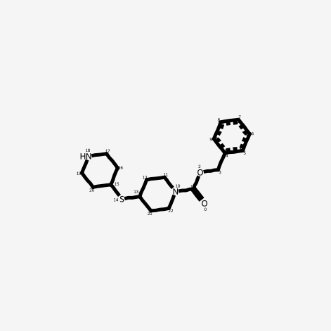 O=C(OCc1ccccc1)N1CCC(SC2CCNCC2)CC1